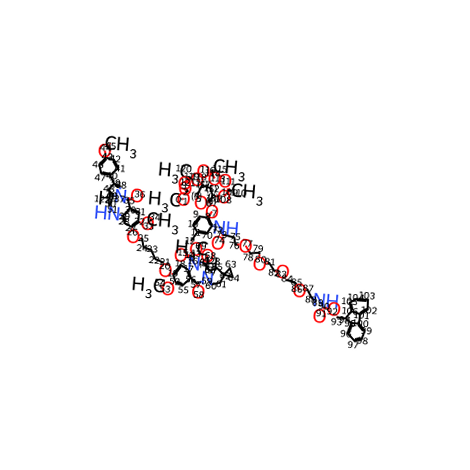 COC(=O)[C@H]1O[C@@H](Oc2ccc(COC(=O)N3c4cc(OCCCCCOc5cc6c(cc5OC)C(=O)N5C=C(c7ccc(OC)cc7)C[C@H]5CN6)c(OC)cc4C(=O)N4CCC5(CC5)C[C@H]4[C@@H]3OC)cc2NC(=O)CCOCCOCCOCCOCCNC(=O)OCC2c3ccccc3-c3ccccc32)[C@H](OC(C)=O)[C@@H](OC(C)=O)[C@@H]1OC(C)=O